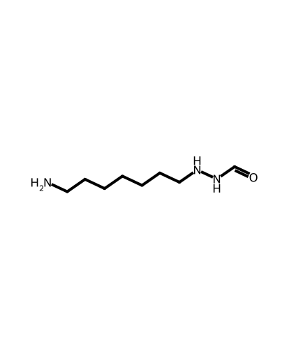 NCCCCCCCNNC=O